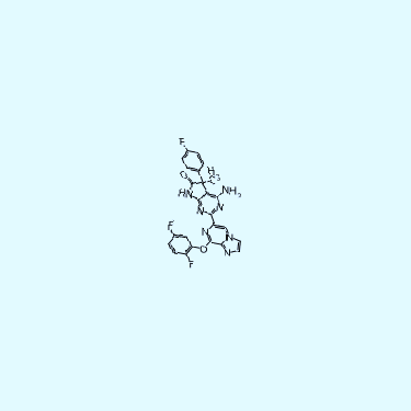 CC1(c2ccc(F)cc2)C(=O)Nc2nc(-c3cn4ccnc4c(Oc4cc(F)ccc4F)n3)nc(N)c21